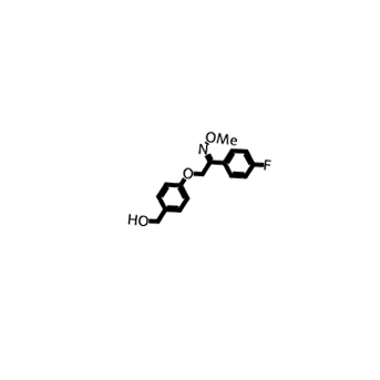 CON=C(COc1ccc(CO)cc1)c1ccc(F)cc1